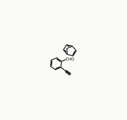 C#Cc1ccccc1C=O.C1=CC2=CC=C1C2